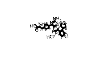 Cl.Nc1nc(OC(c2ccc(Cl)cc2C2=CCOCC2)C(F)(F)F)cc(C2=CCC(CC(N)C(=O)O)CC2)n1